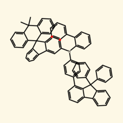 CC1(C)c2ccccc2C2(c3ccccc3-c3cc(N(c4ccc(-c5cccc6c5C(c5ccccc5)(c5ccccc5)c5ccccc5-6)cc4)c4ccccc4-c4ccccc4)ccc32)c2ccccc21